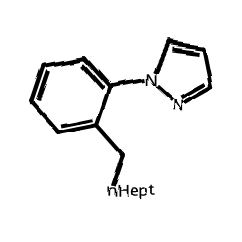 CCCCCCCCc1ccccc1-n1cccn1